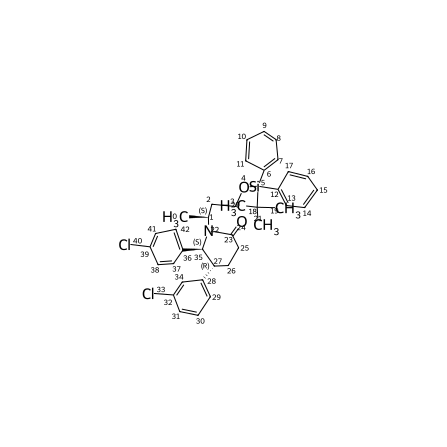 C[C@@H](CCO[Si](c1ccccc1)(c1ccccc1)C(C)(C)C)N1C(=O)CC[C@H](c2cccc(Cl)c2)[C@H]1c1ccc(Cl)cc1